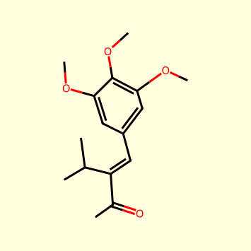 COc1cc(/C=C(/C(C)=O)C(C)C)cc(OC)c1OC